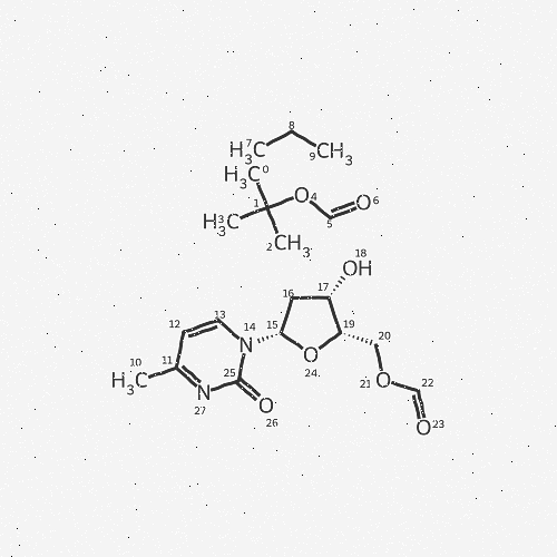 CC(C)(C)OC=O.CCC.Cc1ccn([C@@H]2C[C@H](O)[C@H](COC=O)O2)c(=O)n1